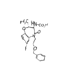 C[C@H]1Oc2ccc(F)cc2N(CCOCc2ccccc2)C(=O)[C@H]1NC(=O)O